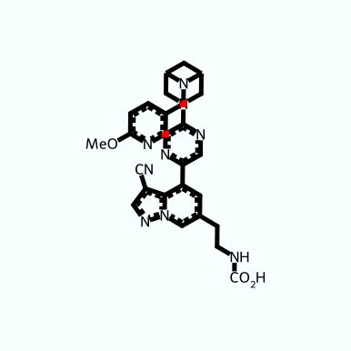 COc1ccc(CN2C3CC2CN(c2cnc(-c4cc(CCNC(=O)O)cn5ncc(C#N)c45)cn2)C3)cn1